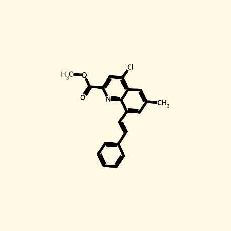 COC(=O)c1cc(Cl)c2cc(C)cc(/C=C/c3ccccc3)c2n1